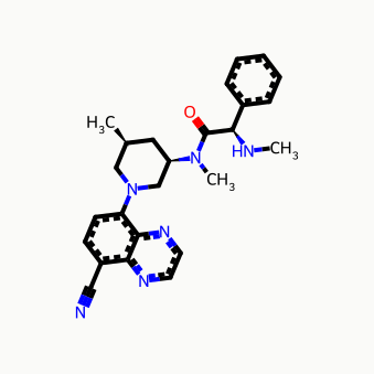 CN[C@@H](C(=O)N(C)[C@@H]1C[C@H](C)CN(c2ccc(C#N)c3nccnc23)C1)c1ccccc1